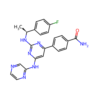 C[C@H](Nc1nc(Nc2cnccn2)cc(-c2ccc(C(N)=O)cc2)n1)c1ccc(F)cc1